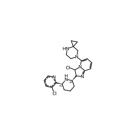 Clc1cccnc1[C@@H]1CCC[C@H](C2N=C3C=CC=C(N4CCNC5(CC5)C4)N3C2Cl)N1